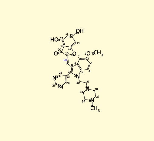 COc1ccc2c(c1)c(/C=C1\Oc3cc(O)cc(O)c3C1=O)c(-c1cncnc1)n2CCN1CCN(C)CC1